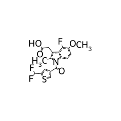 COc1ccc2c(c1F)c(CC(=O)O)c(C)n2C(=O)c1csc(C(F)F)c1